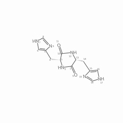 O=C1N[C@H](Cc2c[nH]cn2)C(=O)N[C@@H]1Cc1c[nH]cn1